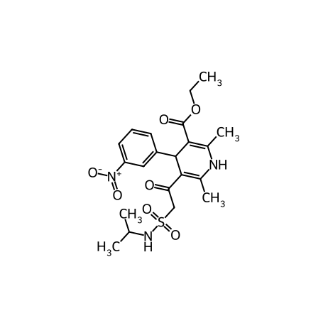 CCOC(=O)C1=C(C)NC(C)=C(C(=O)CS(=O)(=O)NC(C)C)C1c1cccc([N+](=O)[O-])c1